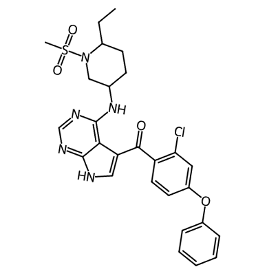 CCC1CCC(Nc2ncnc3[nH]cc(C(=O)c4ccc(Oc5ccccc5)cc4Cl)c23)CN1S(C)(=O)=O